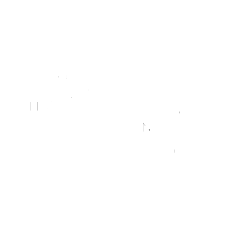 CC(C)N1CCC(C(=O)C(C)(C)O)CC1